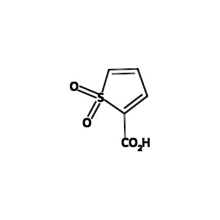 O=C(O)C1=CC=CS1(=O)=O